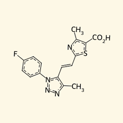 Cc1nc(C=Cc2c(C)nnn2-c2ccc(F)cc2)sc1C(=O)O